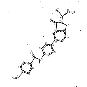 CCCCCCCCc1ccc(C(=O)Nc2ccc(-c3ccc4c(c3)C(=O)N([C@H](C(=O)O)C(C)C)C4)cc2)cc1